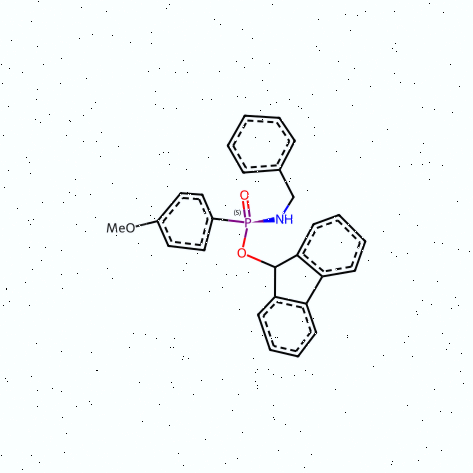 COc1ccc([P@@](=O)(NCc2ccccc2)OC2c3ccccc3-c3ccccc32)cc1